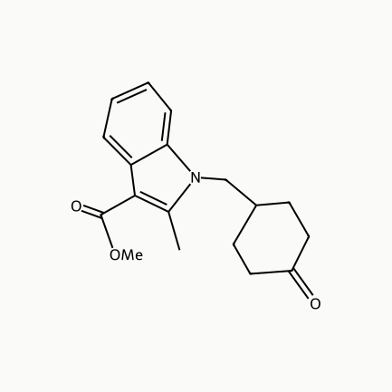 COC(=O)c1c(C)n(CC2CCC(=O)CC2)c2ccccc12